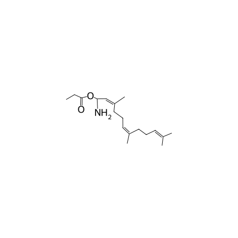 CCC(=O)OC(N)C=C(C)CCC=C(C)CCC=C(C)C